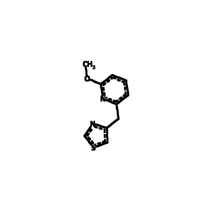 COc1cccc(Cc2cscn2)n1